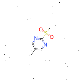 [CH2]c1cnc(S(C)(=O)=O)nc1